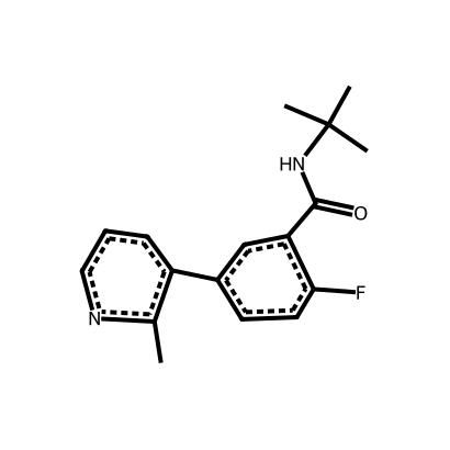 Cc1ncccc1-c1ccc(F)c(C(=O)NC(C)(C)C)c1